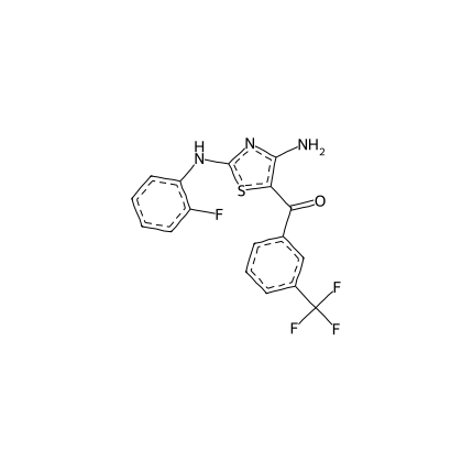 Nc1nc(Nc2ccccc2F)sc1C(=O)c1cccc(C(F)(F)F)c1